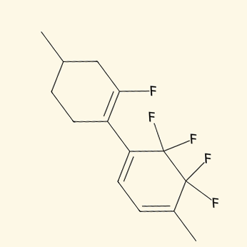 CC1=CC=C(C2=C(F)CC(C)CC2)C(F)(F)C1(F)F